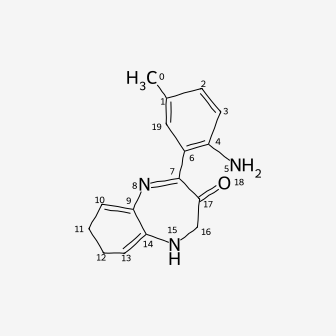 Cc1ccc(N)c(C2=NC3=CCCC=C3NCC2=O)c1